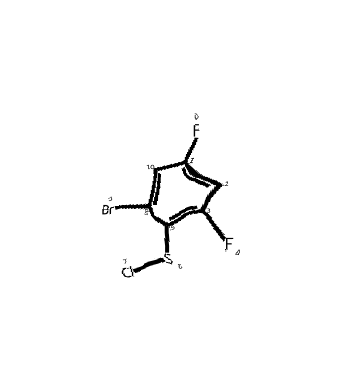 Fc1cc(F)c(SCl)c(Br)c1